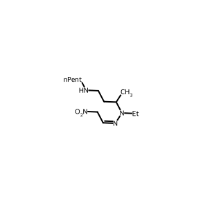 CCCCCNCCC(C)N(CC)/N=C\C[N+](=O)[O-]